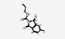 CCCOC(=O)N1C(=O)c2ccc(C)cc2C1=O